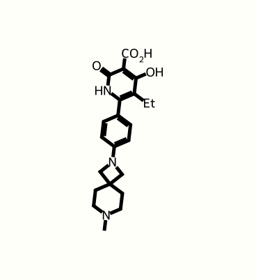 CCc1c(-c2ccc(N3CC4(CCN(C)CC4)C3)cc2)[nH]c(=O)c(C(=O)O)c1O